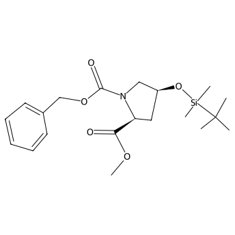 COC(=O)[C@@H]1C[C@H](O[Si](C)(C)C(C)(C)C)CN1C(=O)OCc1ccccc1